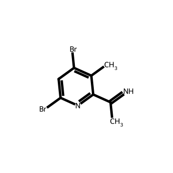 CC(=N)c1nc(Br)cc(Br)c1C